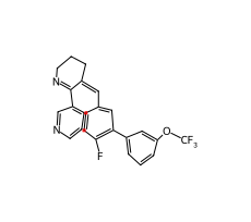 Fc1ccc(/C=C2/CCCN=C2c2cccnc2)cc1-c1cccc(OC(F)(F)F)c1